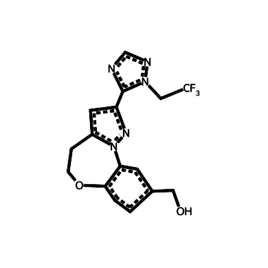 OCc1ccc2c(c1)-n1nc(-c3ncnn3CC(F)(F)F)cc1CCO2